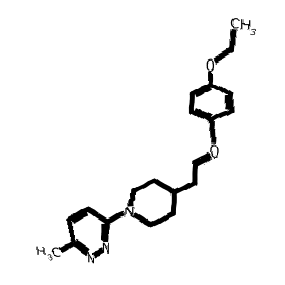 CCOc1ccc(OCCC2CCN(c3ccc(C)nn3)CC2)cc1